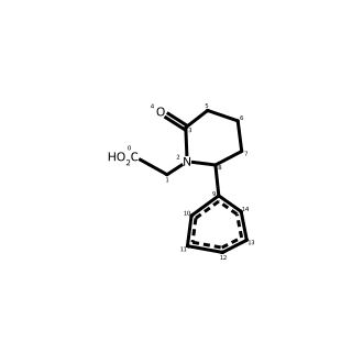 O=C(O)CN1C(=O)CCCC1c1ccccc1